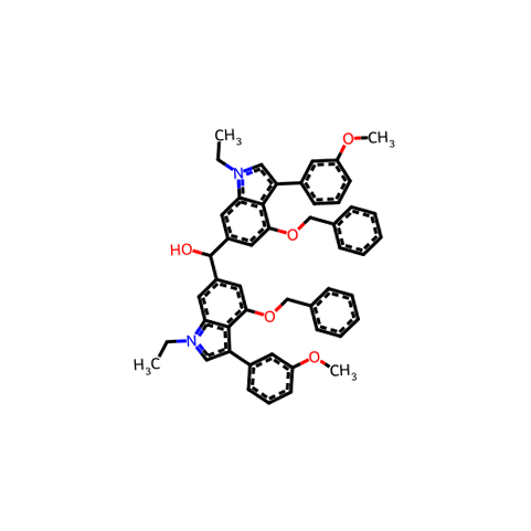 CCn1cc(-c2cccc(OC)c2)c2c(OCc3ccccc3)cc(C(O)c3cc(OCc4ccccc4)c4c(-c5cccc(OC)c5)cn(CC)c4c3)cc21